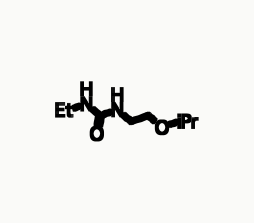 CCNC(=O)NCCOC(C)C